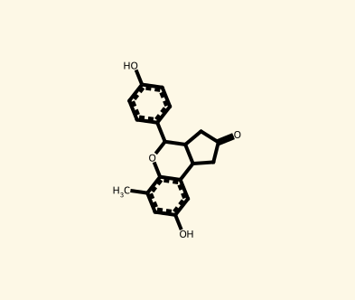 Cc1cc(O)cc2c1OC(c1ccc(O)cc1)C1CC(=O)CC21